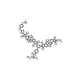 C=C(C)C(=O)Oc1ccc(-c2cc(N3C(=O)c4ccc(C(c5ccc6c(c5)C(=O)N(C)C6=O)(C(F)(F)F)C(F)(F)F)cc4C3=O)cc(N3C(=O)c4ccc(C(c5ccc6c(c5)C(=O)N(c5ccc(Oc7ccc(CC8CO8)cc7)cc5)C6=O)(C(F)(F)F)C(F)(F)F)cc4C3=O)c2)cc1